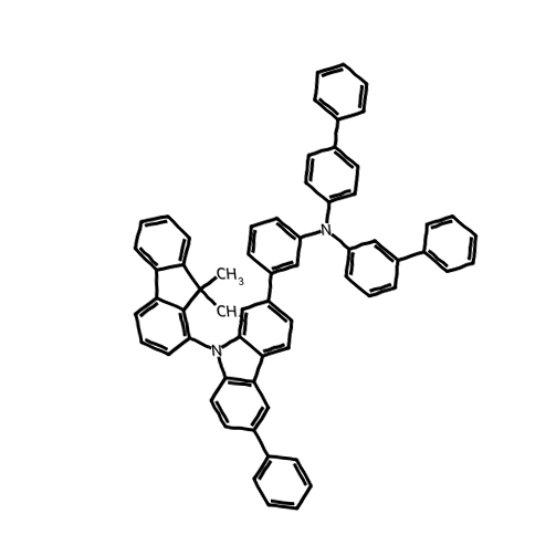 CC1(C)c2ccccc2-c2cccc(-n3c4ccc(-c5ccccc5)cc4c4ccc(-c5cccc(N(c6ccc(-c7ccccc7)cc6)c6cccc(-c7ccccc7)c6)c5)cc43)c21